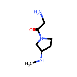 CN[C@@H]1CCN(C(=O)CN)C1